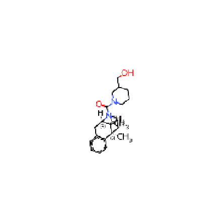 CC1(C)[C@H]2Cc3ccccc3[C@]1(C)CCN2C(=O)N1CCCC(CO)C1